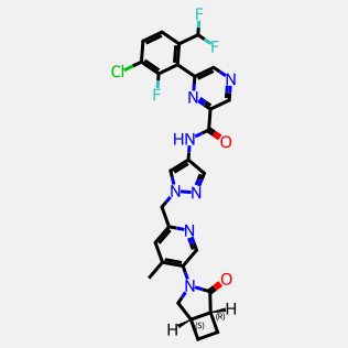 Cc1cc(Cn2cc(NC(=O)c3cncc(-c4c(C(F)F)ccc(Cl)c4F)n3)cn2)ncc1N1C[C@H]2CC[C@H]2C1=O